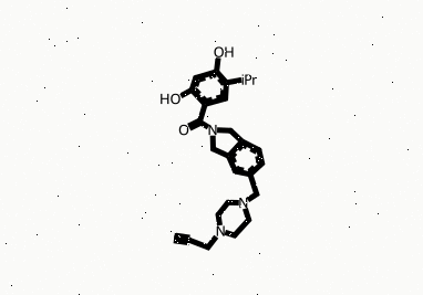 C#CCN1CCN(Cc2ccc3c(c2)CN(C(=O)c2cc(C(C)C)c(O)cc2O)C3)CC1